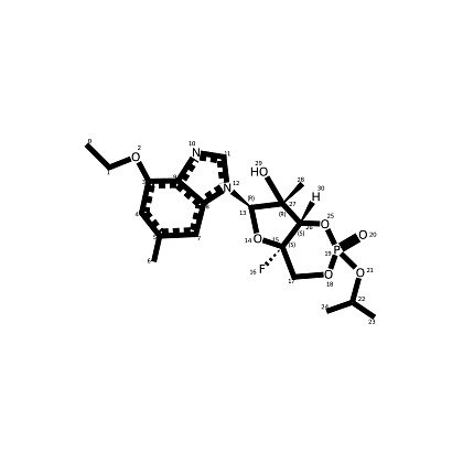 CCOc1cc(C)cc2c1ncn2[C@@H]1O[C@]2(F)COP(=O)(OC(C)C)O[C@H]2[C@@]1(C)O